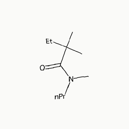 CCCN(C)C(=O)C(C)(C)CC